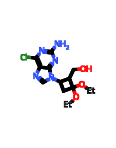 CCOC1(OCC)CC(n2cnc3c(Cl)nc(N)nc32)C1CO